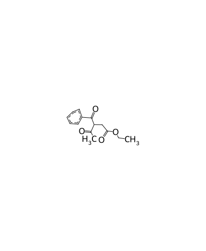 CCOC(=O)CC(C(C)=O)C(=O)c1ccccc1